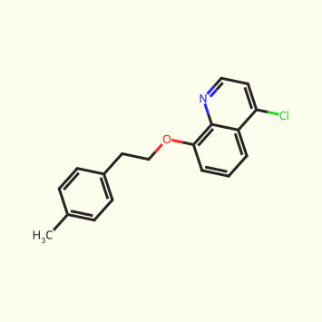 Cc1ccc(CCOc2cccc3c(Cl)ccnc23)cc1